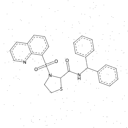 O=C(NC(c1ccccc1)c1ccccc1)C1SCCN1S(=O)(=O)c1cccc2cccnc12